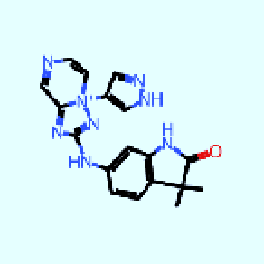 CC1(C)C(=O)Nc2cc(NC3=N[N+]4(c5cn[nH]c5)C=CN=CC4=N3)ccc21